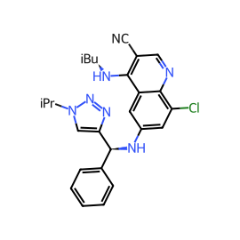 CC[C@H](C)Nc1c(C#N)cnc2c(Cl)cc(N[C@@H](c3ccccc3)c3cn(C(C)C)nn3)cc12